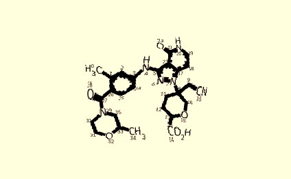 Cc1cc(Nc2nn(C3(CC#N)CCC(C(=O)O)OC3)c3cc[nH]c(=O)c23)ccc1C(=O)N1CCOC(C)C1